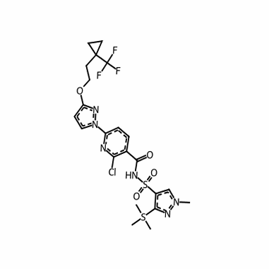 Cn1cc(S(=O)(=O)NC(=O)c2ccc(-n3ccc(OCCC4(C(F)(F)F)CC4)n3)nc2Cl)c(S(C)(C)C)n1